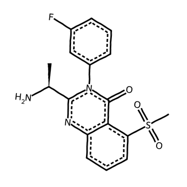 C[C@H](N)c1nc2cccc(S(C)(=O)=O)c2c(=O)n1-c1cccc(F)c1